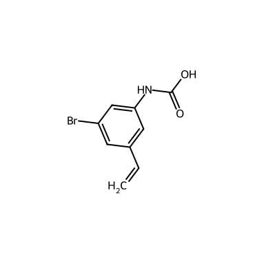 C=Cc1cc(Br)cc(NC(=O)O)c1